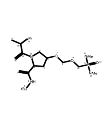 C=C(NC(C)(C)C)C1CC(OCOCP(=O)(NC)NC)CN1C(=C)C(C)C(C)C